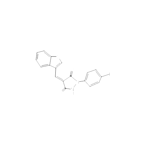 O=C1NN(c2ccc(I)cc2)C(=O)C1=Cc1csc2ccccc12